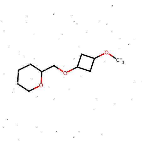 FC(F)(F)OC1CC(OCC2CCCCO2)C1